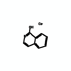 Oc1nccc2ccccc12.[Co]